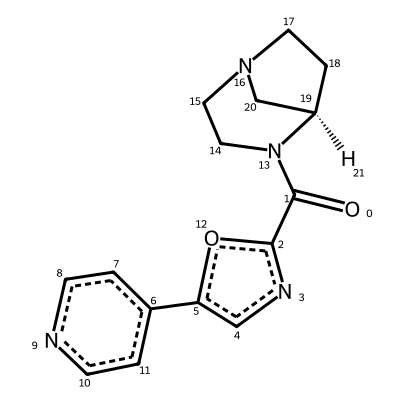 O=C(c1ncc(-c2ccncc2)o1)N1CCN2CC[C@@H]1C2